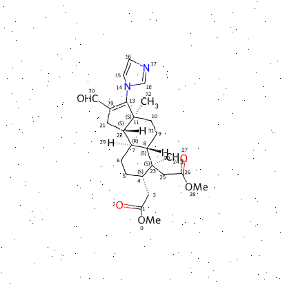 COC(=O)C[C@@H]1CC[C@@H]2[C@H](CC[C@]3(C)C(n4ccnc4)=C(C=O)C[C@@H]23)[C@@]1(C)CC(=O)OC